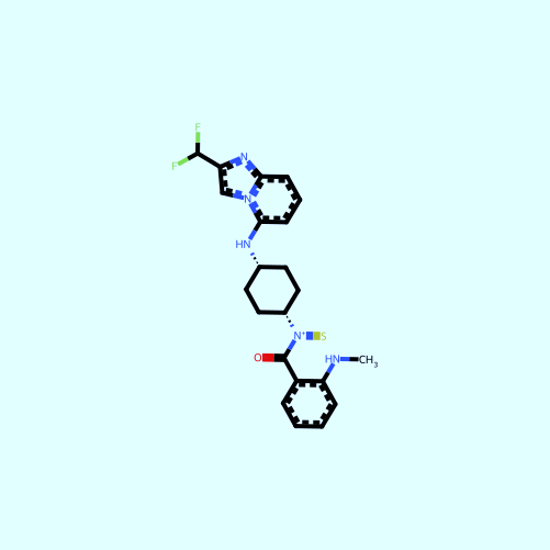 CNc1ccccc1C(=O)[N+](=S)[C@H]1CC[C@@H](Nc2cccc3nc(C(F)F)cn23)CC1